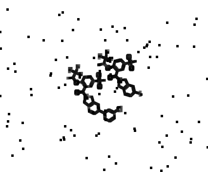 CC(Oc1ccc(S(C)(=O)=O)cc1C(=O)N1Cc2ccc(-c3cccc(Cl)c3)cc2C1)C(F)(F)F.C[C@H](Oc1ccc(S(C)(=O)=O)cc1C(=O)N1Cc2ccc(I)cc2C1)C(F)(F)F